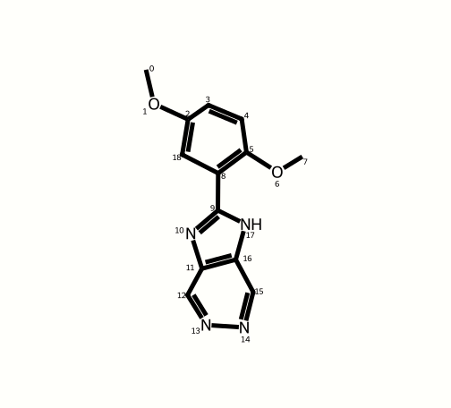 COc1ccc(OC)c(-c2nc3cnncc3[nH]2)c1